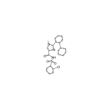 Cn1cc(C(=O)NS(=O)(=O)c2ccccc2Cl)nc1-c1ccccc1-c1ccccc1